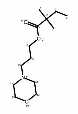 CCC(C)(C)C(=O)OCCCN1CCOCC1